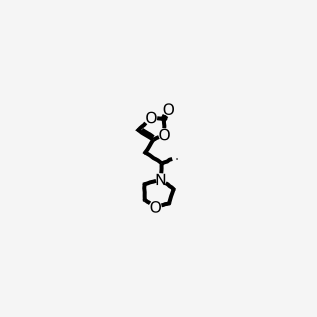 [CH2]C(Cc1coc(=O)o1)N1CCOCC1